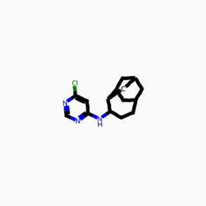 Clc1cc(NC2CCC3CC4CC(C3)C2C4)ncn1